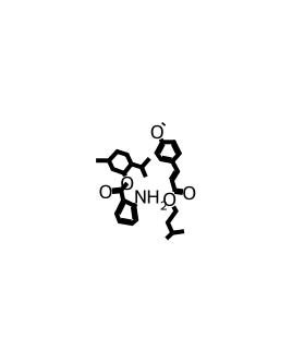 CC1CCC(C(C)C)C(OC(=O)c2ccccc2N)C1.COc1ccc(C=CC(=O)OCCC(C)C)cc1